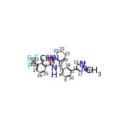 Cc1c(C(=O)N[C@@H](c2cccc(-c3cnn(C)c3)c2)[C@@H]2CCCCN2)cccc1C(F)(F)F